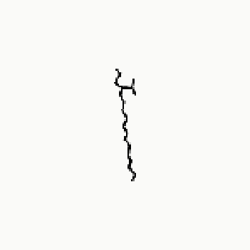 [CH2]CCC(CCCCCCCCCCCCC)C(C)C